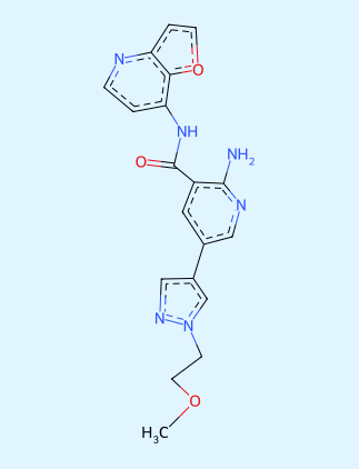 COCCn1cc(-c2cnc(N)c(C(=O)Nc3ccnc4ccoc34)c2)cn1